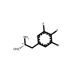 N[C@@H](C=O)Cc1cc(F)c(F)c(F)c1